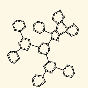 c1ccc(-c2cc(-c3cc(-c4cc(-c5ccccc5)nc(-c5ccccc5)c4)cc(-c4nc5c6cccnc6c6ncccc6c5n4-c4ccccc4)c3)cc(-c3ccccc3)n2)cc1